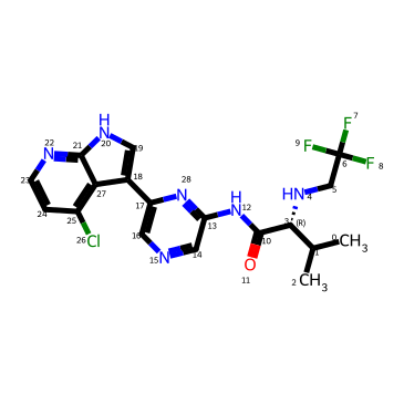 CC(C)[C@@H](NCC(F)(F)F)C(=O)Nc1cncc(-c2c[nH]c3nccc(Cl)c23)n1